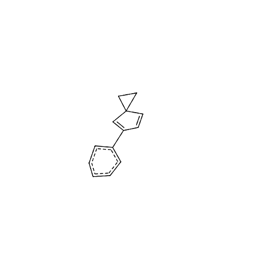 C1=CC2(C=C1c1ccccc1)CC2